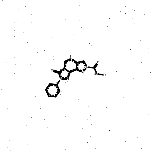 CCNC(=O)n1cc2[nH]cc3c(=O)n(-c4ccccc4)nc-3c2n1